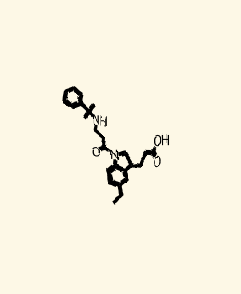 CCc1ccc2c(c1)C(CCC(=O)O)CN2C(=O)CCNC(C)(C)c1ccccc1